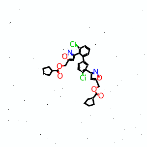 O=C(OCc1cc(-c2cc(-c3cccc(Cl)c3-c3cc(COC(=O)C4CCCC4)on3)ccc2Cl)no1)C1CCCC1